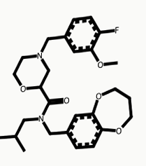 COc1cc(CN2CCOC(C(=O)N(Cc3ccc4c(c3)OCCCO4)CC(C)C)C2)ccc1F